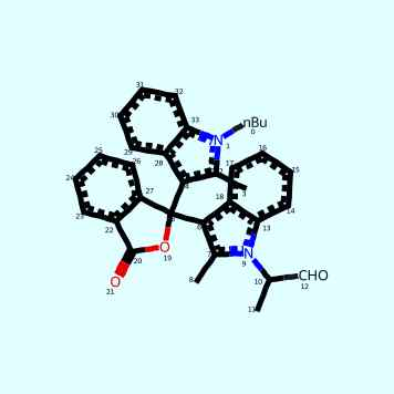 CCCCn1c(C)c(C2(c3c(C)n(C(C)C=O)c4ccccc34)OC(=O)c3ccccc32)c2ccccc21